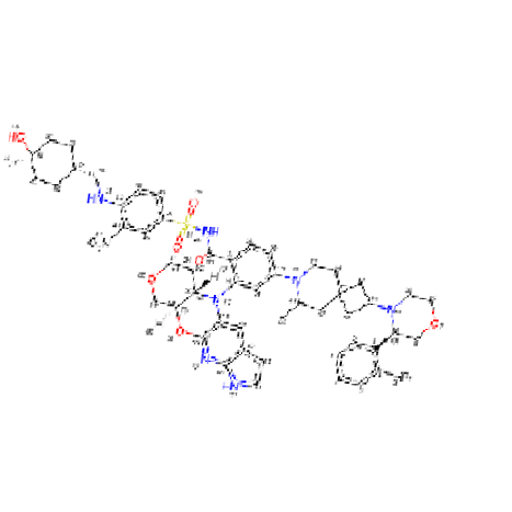 CC(C)c1ccccc1[C@@H]1COCCN1C1CC2(CCN(c3ccc(C(=O)NS(=O)(=O)c4ccc(NC[C@H]5CC[C@](C)(O)CC5)c([N+](=O)[O-])c4)c(N4c5cc6cc[nH]c6nc5O[C@H]5COCC[C@@H]54)c3)C(C)C2)C1